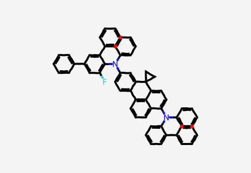 Fc1cc(-c2ccccc2)cc(-c2ccccc2)c1N(c1ccccc1)c1ccc2c(c1)C1(CC1)c1ccc(N(c3ccccc3)c3ccccc3-c3ccccc3)c3cccc-2c13